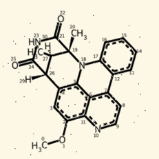 COc1cc2c3c4c(ccnc14)-c1ccccc1N3[C@@]1(C)C(=O)NC(=O)[C@@H]2[C@H]1C